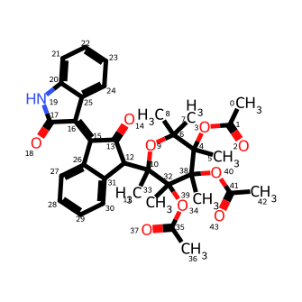 CC(=O)OC1(C)C(C)(C)OC(C)(C2C(=O)/C(=C3/C(=O)Nc4ccccc43)c3ccccc32)C(C)(OC(C)=O)C1(C)OC(C)=O